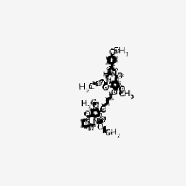 C=CCOC(=O)N1C[C@@H]2CC(c3ccc(OC)cc3)=CN2C(=O)c2cc(OC)c(OCCCCCOc3cc4c(cc3OC)C(=O)N3CCC[C@H]3CN4C(=O)OCC=C)cc21